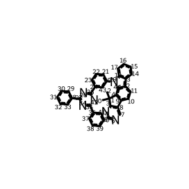 CC1(C)c2ncncc2-c2ccc3c4ccccc4n(-c4cccc(-c5nc(-c6ccccc6)nc(-c6ccccc6)n5)c4)c3c21